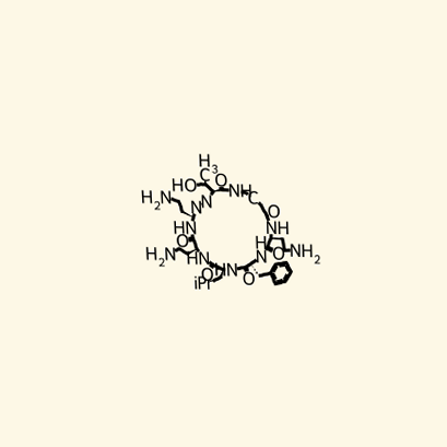 CC(C)C[C@@H]1NC(=O)[C@@H](Cc2ccccc2)NC(=O)[C@H](CCN)NC(=O)CCCNC(=O)[C@H]([C@@H](C)O)/N=N/[C@H](CCN)NC(=O)[C@H](CCN)NC1=O